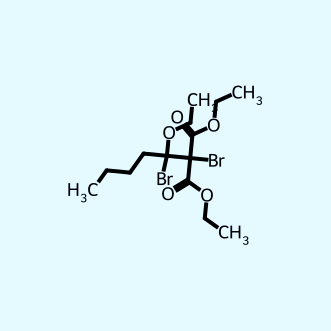 CCCCC(Br)(OCC)C(Br)(C(=O)OCC)C(=O)OCC